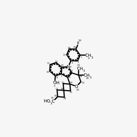 Cc1cc(-n2c3c(c4c(O)cccc42)C2(CC4(CC(C(=O)O)C4)C2)OCC3(C)C)ccc1F